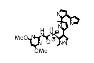 COc1cc(OC)nc(NC(=O)NS(=O)(=O)c2c(C3=NC(C)(C4=NC=CC4=C4C=CC=N4)C=C3)cnn2C)n1